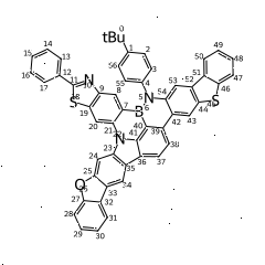 CC(C)(C)c1ccc(N2B3c4cc5nc(-c6ccccc6)sc5cc4-n4c5cc6oc7ccccc7c6cc5c5ccc(c3c54)-c3cc4sc5ccccc5c4cc32)cc1